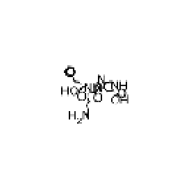 NCCCC[C@H](N[C@@H](CCc1ccccc1)C(=O)O)C(=O)n1cnc2c1C[C@@H](C(=O)O)NC2